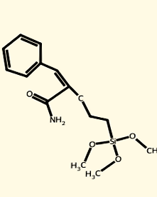 CO[Si](CCCC(=Cc1ccccc1)C(N)=O)(OC)OC